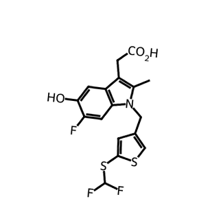 Cc1c(CC(=O)O)c2cc(O)c(F)cc2n1Cc1csc(SC(F)F)c1